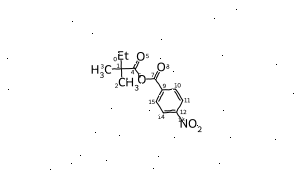 CCC(C)(C)C(=O)OC(=O)c1ccc([N+](=O)[O-])cc1